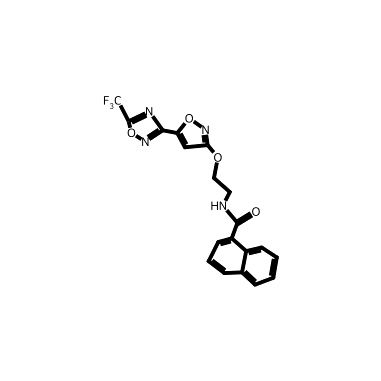 O=C(NCCOc1cc(-c2noc(C(F)(F)F)n2)on1)c1cccc2ccccc12